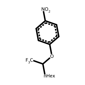 CCCCCCC(Oc1ccc([N+](=O)[O-])cc1)C(F)(F)F